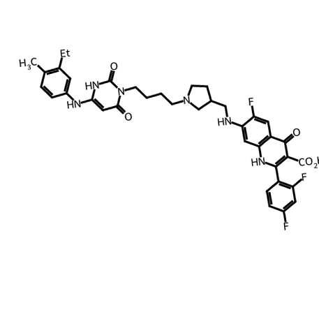 CCc1cc(Nc2cc(=O)n(CCCCN3CCC(CNc4cc5[nH]c(-c6ccc(F)cc6F)c(C(=O)O)c(=O)c5cc4F)C3)c(=O)[nH]2)ccc1C